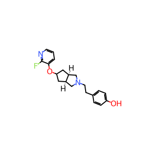 Oc1ccc(CCN2C[C@H]3CC(Oc4cccnc4F)C[C@H]3C2)cc1